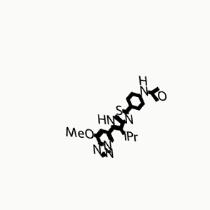 COc1cc(-c2[nH]c3sc(C4CCC(NC5COC5)CC4)nc3c2C(C)C)cn2ncnc12